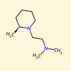 C[C@H]1CCCCN1CCN(C)C